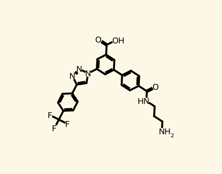 NCCCNC(=O)c1ccc(-c2cc(C(=O)O)cc(-n3cc(-c4ccc(C(F)(F)F)cc4)nn3)c2)cc1